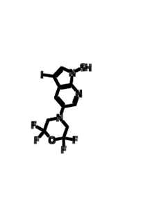 FC1(F)CN(c2cnc3c(c2)c(I)cn3S)CC(F)(F)O1